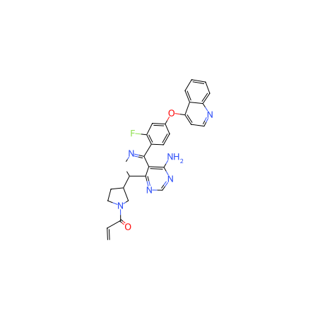 C=CC(=O)N1CCC(C(C)c2ncnc(N)c2/C(=N\C)c2ccc(Oc3ccnc4ccccc34)cc2F)C1